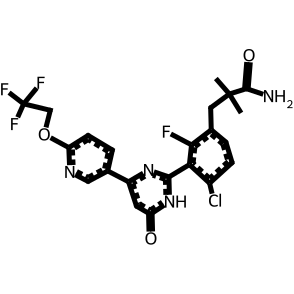 CC(C)(Cc1ccc(Cl)c(-c2nc(-c3ccc(OCC(F)(F)F)nc3)cc(=O)[nH]2)c1F)C(N)=O